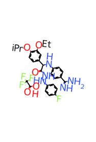 CCOc1cc(C(Nc2ccc(C(=N)N)cc2)C(=O)NNc2ccc(F)cc2)ccc1OC(C)C.O=C(O)C(F)(F)F